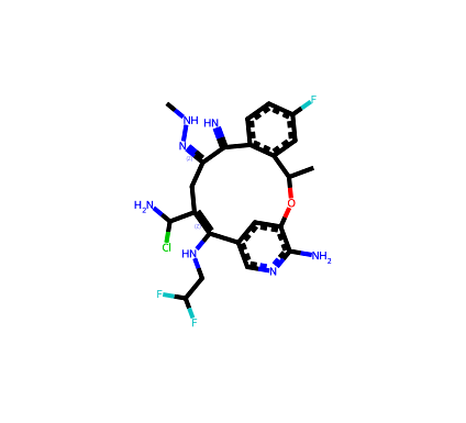 CN/N=C1/C/C(C(N)Cl)=C(/NCC(F)F)c2cnc(N)c(c2)OC(C)c2cc(F)ccc2C1=N